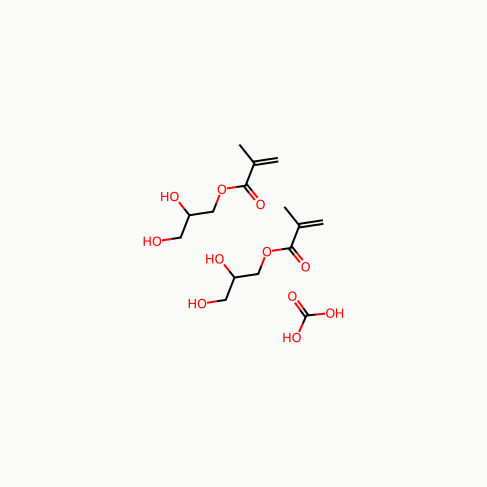 C=C(C)C(=O)OCC(O)CO.C=C(C)C(=O)OCC(O)CO.O=C(O)O